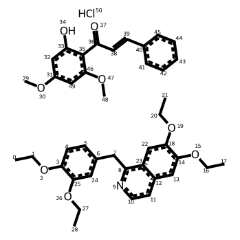 CCOc1ccc(Cc2nccc3cc(OCC)c(OCC)cc23)cc1OCC.COc1cc(O)c(C(=O)C=Cc2ccccc2)c(OC)c1.Cl